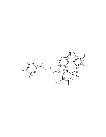 Cc1cc(OCCCc2c3n4c5c(c(Cl)ccc25)-c2c(nn(C)c2C)C[C@@H]4CNC3=O)cc(C)c1Cl